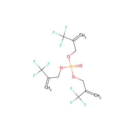 C=C(COP(=O)(OCC(=C)C(F)(F)F)OCC(=C)C(F)(F)F)C(F)(F)F